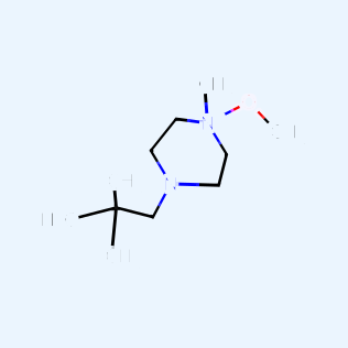 CO[N+]1(C)CCN(CC(C)(C)C)CC1